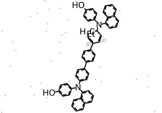 CC/C=C(\C=C/C(C)N(c1ccc(O)cc1)c1cccc2ccccc12)c1ccc(-c2ccc(N(c3ccc(O)cc3)c3cccc4ccccc34)cc2)cc1